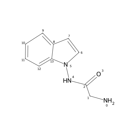 NCC(=O)Nn1ccc2ccccc21